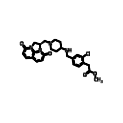 COC(=O)Cc1ccc(CNC2CCN(C[C@@H]3Cn4c(=O)ccc5ccc(=O)n3c54)CC2)cc1Cl